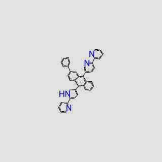 C1=C(c2ccccn2)NCC(c2c3ccccc3c(-c3ccc(-c4ccccn4)nc3)c3cc(-c4ccccc4)ccc23)=C1